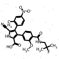 COc1cc(-c2c(C(=O)O)[nH]c(C#N)c2-c2ccc([N+](=O)[O-])cc2C)ccc1C(=O)NCC(C)(C)F